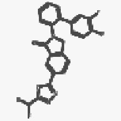 O=C1c2cc(-c3nnc(C(F)F)o3)ccc2CN1c1ccccc1-c1ccc(F)c(F)c1